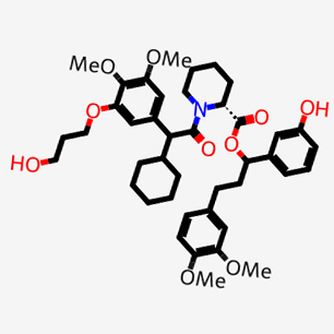 COc1ccc(CCC(OC(=O)[C@H]2CCCCN2C(=O)C(c2cc(OC)c(OC)c(OCCCO)c2)C2CCCCC2)c2cccc(O)c2)cc1OC